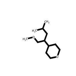 COCC(CC(C)C)C1CCOCC1